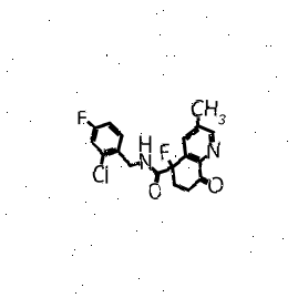 Cc1cnc2c(c1)C(F)(C(=O)NCc1ccc(F)cc1Cl)CCC2=O